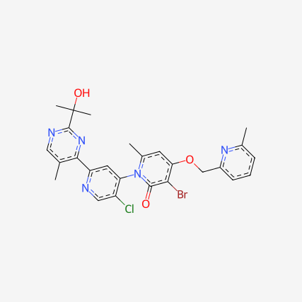 Cc1cccc(COc2cc(C)n(-c3cc(-c4nc(C(C)(C)O)ncc4C)ncc3Cl)c(=O)c2Br)n1